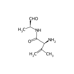 C=C(C)[C@H](N)C(=O)N[C@@H](C)C=O